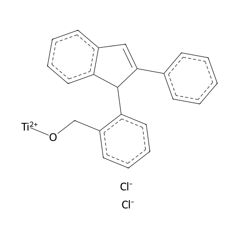 [Cl-].[Cl-].[Ti+2][O]Cc1ccccc1C1C(c2ccccc2)=Cc2ccccc21